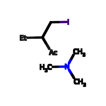 CCC(CI)C(C)=O.CN(C)C